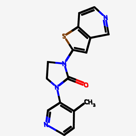 Cc1ccncc1N1CCN(c2cc3cnccc3s2)C1=O